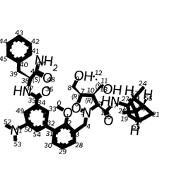 COc1c(CN2O[C@@H](CO)[C@@H]([C@H](C)O)[C@H]2C(=O)NC2C[C@H]3C[C@@H]([C@@H]2C)C3(C)C)cccc1-c1cc(C(=O)N[C@@H](Cc2ccccc2)C(N)=O)cc(N(C)C)c1